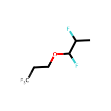 CC(F)C(F)OCCC(F)(F)F